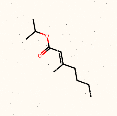 CCCC/C(C)=C/C(=O)OC(C)C